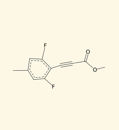 COC(=O)C#Cc1c(F)cc(C)cc1F